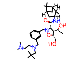 C[C@@H]1[C@@H](NC(=O)[C@@H]2[C@H]([C@H](C)O)[C@H](CO)ON2Cc2cccc(CN(CCN(C)C)CC(C)(C)C)c2)C[C@H]2C[C@@H]1C2(C)C